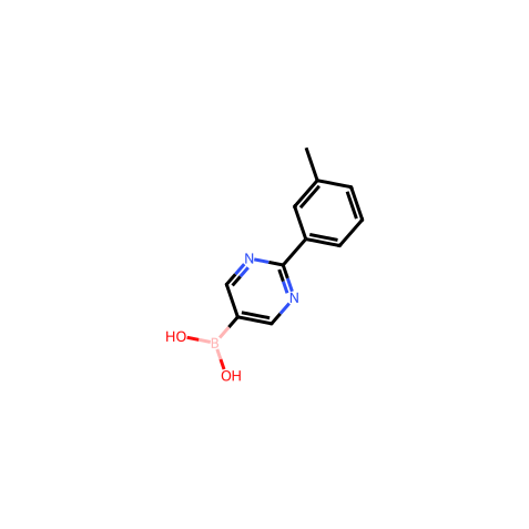 Cc1cccc(-c2ncc(B(O)O)cn2)c1